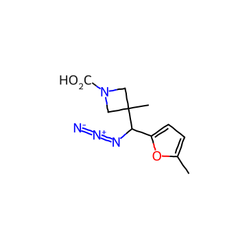 Cc1ccc(C(N=[N+]=[N-])C2(C)CN(C(=O)O)C2)o1